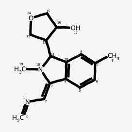 C=N/C=C1/c2ccc(C)cc2C(C2COCC2O)N1C